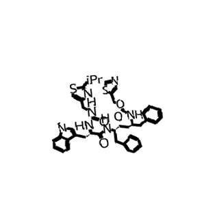 CC(C)c1nc(CNC(=O)N[C@@H](Cc2cn(C)c3ccccc23)C(=O)N[C@H](CC[C@H](Cc2ccccc2)NC(=O)OCc2cncs2)Cc2ccccc2)cs1